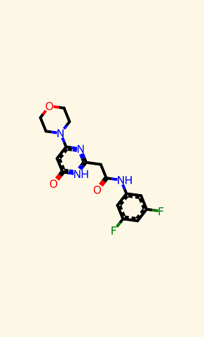 O=C(Cc1nc(N2CCOCC2)cc(=O)[nH]1)Nc1cc(F)cc(F)c1